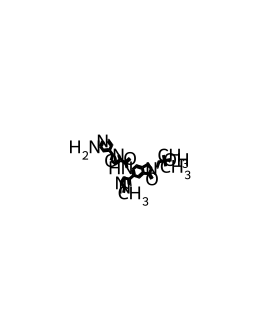 Cn1cc(-c2cc3c(cc2NC(=O)c2coc(-c4ccnc(N)c4)n2)CN(CCC(C)(C)O)C3=O)cn1